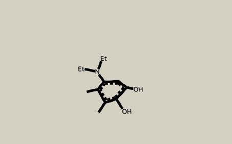 CCN(CC)c1cc(O)c(O)c(C)c1C